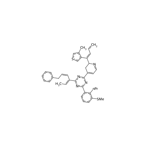 C=C/C=C(\c1cscc1C)C1CC(c2nc(C(/C=C\Cc3ccccc3)=C/C)nc(-c3cccc(SC)c3CCC)n2)=CC=N1